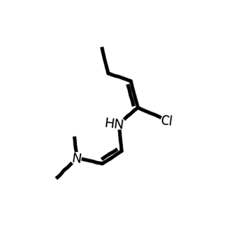 CC/C=C(/Cl)N/C=C\N(C)C